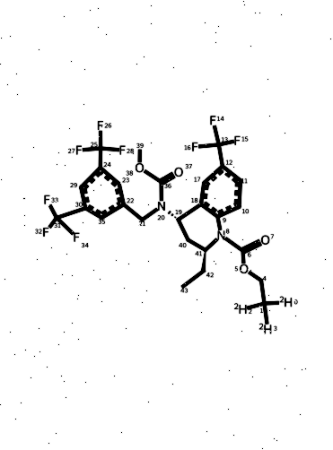 [2H]C([2H])([2H])COC(=O)N1c2ccc(C(F)(F)F)cc2[C@@H](N(Cc2cc(C(F)(F)F)cc(C(F)(F)F)c2)C(=O)OC)C[C@@H]1CC